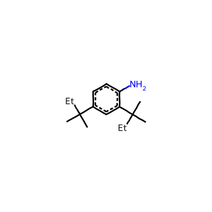 CCC(C)(C)c1ccc(N)c(C(C)(C)CC)c1